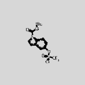 CC(C)(C)OC(=O)n1ccc2cc(OS(=O)(=O)C(F)(F)F)ccc21